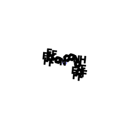 Fc1c(F)c(F)c(-c2ccc(/N=C3/C=C4C=C(Nc5ccc(-c6c(F)c(F)c(F)c(F)c6F)cc5)CCC4CC3)cc2)c(F)c1F